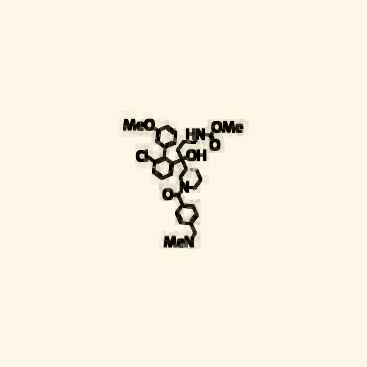 CNCc1ccc(C(=O)N2CCC[C@@H]([C@@](O)(CCCNC(=O)OC)c3cccc(Cl)c3-c3cccc(OC)c3)C2)cc1